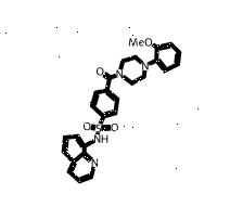 COc1ccccc1N1CCN(C(=O)c2ccc(S(=O)(=O)Nc3cccc4cccnc34)cc2)CC1